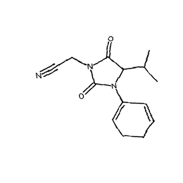 CC(C)C1C(=O)N(CC#N)C(=O)N1C1=CCCC=C1